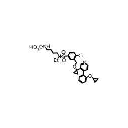 CCN(CCCCNC(=O)O)S(=O)(=O)c1ccc(Cl)c(COC2(c3cnccc3-c3ccccc3OC3CC3)CC2)c1